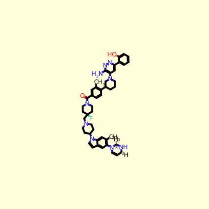 [2H]C1C=CN(c2cc3ccn(C4CCN(CC5(F)CCN(C(=O)c6ccc(C7CCCN(c8cc(-c9ccccc9O)nnc8N)C7)c(C)c6)CC5)CC4)c3cc2C)[C@H]([2H])N1